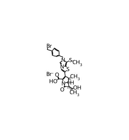 CSc1c2sc(C3=C(C(=O)O)N4C(=O)[C@H]([C@@H](C)O)[C@@H]4[C@H]3C)c[n+]2cn1Cc1ccc(CBr)cc1.[Br-]